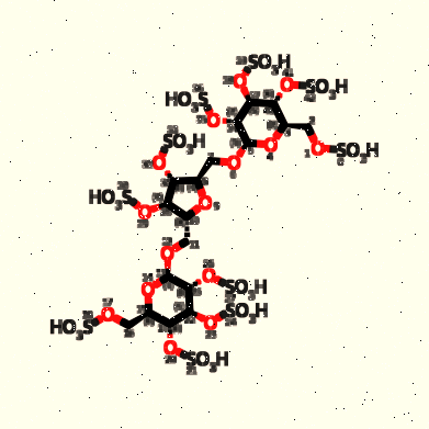 O=S(=O)(O)OC[C@H]1O[C@@H](OC[C@H]2O[C@H](CO[C@@H]3O[C@H](COS(=O)(=O)O)[C@@H](OS(=O)(=O)O)[C@H](OS(=O)(=O)O)[C@H]3OS(=O)(=O)O)[C@@H](OS(=O)(=O)O)[C@@H]2OS(=O)(=O)O)[C@H](OS(=O)(=O)O)[C@@H](OS(=O)(=O)O)[C@@H]1OS(=O)(=O)O